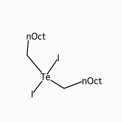 CCCCCCCCC[Te](I)(I)CCCCCCCCC